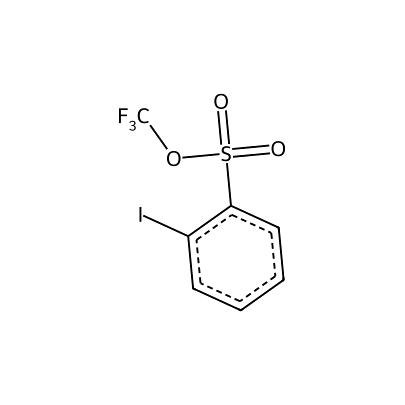 O=S(=O)(OC(F)(F)F)c1ccccc1I